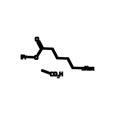 CC(=O)O.CCCCCCCCCCCCCC(=O)OC(C)C